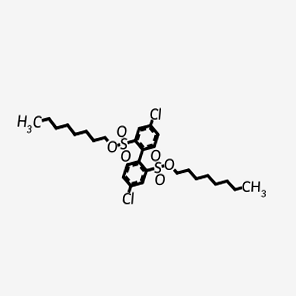 CCCCCCCCOS(=O)(=O)c1cc(Cl)ccc1-c1ccc(Cl)cc1S(=O)(=O)OCCCCCCCC